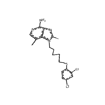 Cc1cnc(N)c2nc(C)n(CCCCCSc3ccc(Cl)cc3Cl)c12